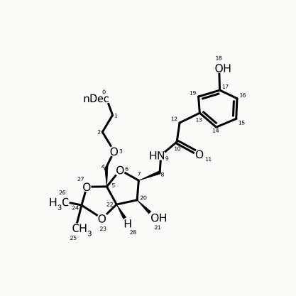 CCCCCCCCCCCCOC[C@@]12O[C@@H](CNC(=O)Cc3cccc(O)c3)[C@@H](O)[C@@H]1OC(C)(C)O2